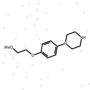 COCCOc1ccc(N2CCNCC2)cc1